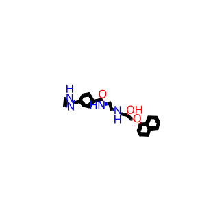 O=C(NCCNCC(O)COc1cccc2ccccc12)c1ccc(-c2ncc[nH]2)cc1